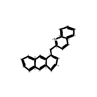 c1ccc2cc3c(Cc4ccc5ccccc5n4)cccc3cc2c1